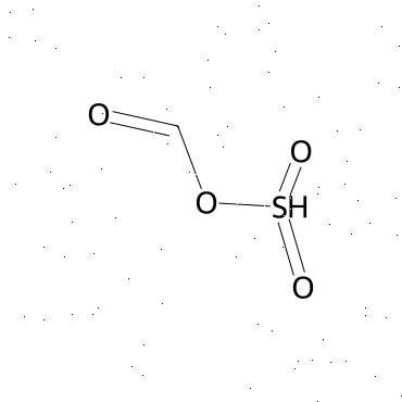 O=CO[SH](=O)=O